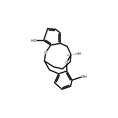 Oc1cccc2c1OC1CCC[C@H](C2)Oc2c(O)cccc2C1